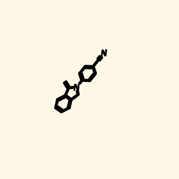 C=C1c2ccccc2CN1c1ccc(C#N)cc1